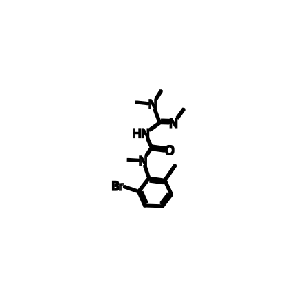 CN=C(NC(=O)N(C)c1c(C)cccc1Br)N(C)C